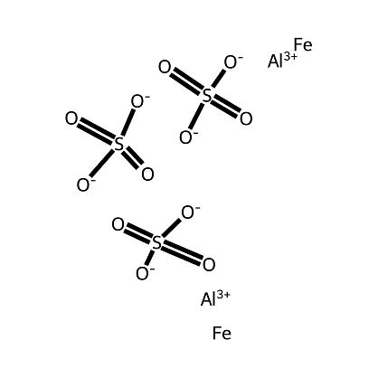 O=S(=O)([O-])[O-].O=S(=O)([O-])[O-].O=S(=O)([O-])[O-].[Al+3].[Al+3].[Fe].[Fe]